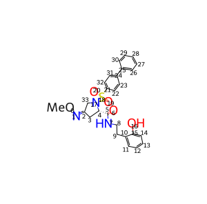 CON=C1C[C@@H](C(=O)NCCc2ccccc2O)N(S(=O)(=O)c2ccc(-c3ccccc3)cc2)C1